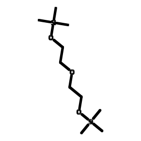 C[Si](C)(C)OCCOCCO[Si](C)(C)C